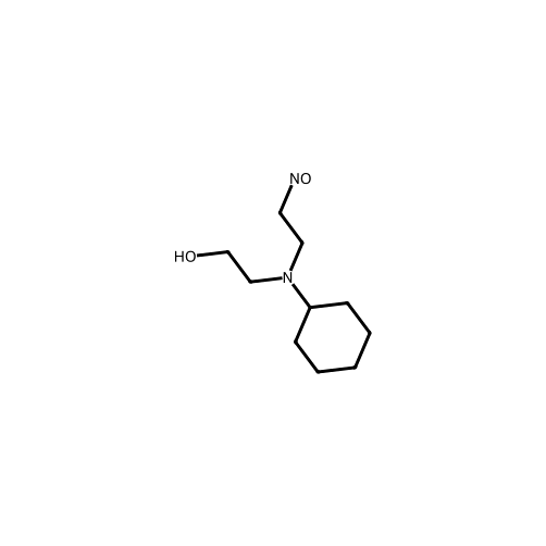 O=NCCN(CCO)C1CCCCC1